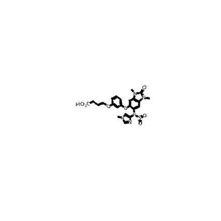 Cn1cnc(N(c2cc3c(cc2Oc2cccc(OCCCC(=O)O)c2)n(C)c(=O)n3C)[SH](=O)=O)c1